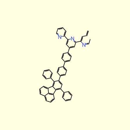 C=C/C=C(\N=C/C)c1cc(-c2ccc(-c3ccc(-c4cc(-c5ccccc5)c5c(c4-c4ccccc4)-c4cccc6cccc-5c46)cc3)cc2)cc(-c2ccccn2)n1